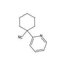 N#CC1(c2ccccn2)CCCCC1